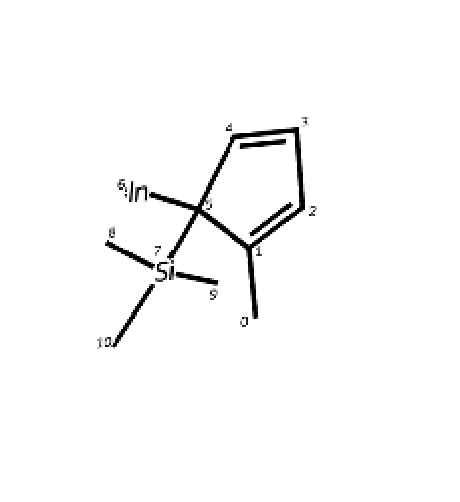 CC1=CC=C[C]1([In])[Si](C)(C)C